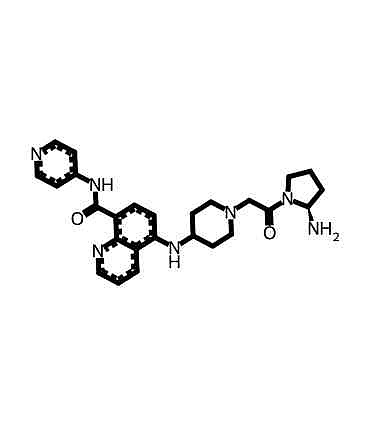 N[C@@H]1CCCN1C(=O)CN1CCC(Nc2ccc(C(=O)Nc3ccncc3)c3ncccc23)CC1